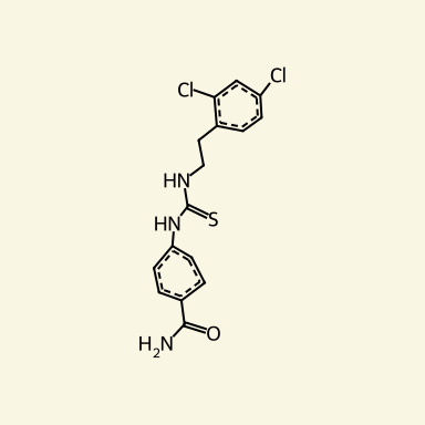 NC(=O)c1ccc(NC(=S)NCCc2ccc(Cl)cc2Cl)cc1